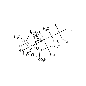 CCC(C)(C)C(C)(C)C(C(=O)O)C(O)(C(=O)O)C(C(=O)O)(C(C)(C)C(C)(C)CC)C(C)(C)C(C)(C)CC